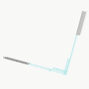 F.F.F.F.F.F.F.F.F.F.F.F.F.F.F.F.F.[F-].[F-].[F-].[F-].[F-].[F-].[F-].[F-].[F-].[F-].[F-].[F-].[F-].[F-].[F-].[F-].[F-].[F-].[F-].[F-].[F-].[F-].[F-].[F-].[F-].[F-].[Na+].[Na+].[Na+].[Na+].[Na+].[Na+].[Na+].[Na+].[Na+].[Na+].[Na+].[Na+].[Na+].[Na+].[Na+].[Na+].[Na+].[Na+].[Na+].[Na+].[Na+].[Na+].[Na+].[Na+].[Na+].[Na+]